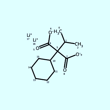 CC(C)C(C(=O)[O-])(C(=O)[O-])C1CCCCC1.[Li+].[Li+]